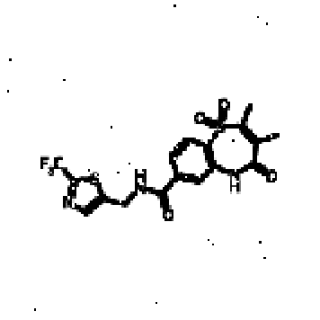 CC1=C(C)S(=O)(=O)c2ccc(C(=O)NCc3cnc(C(F)(F)F)s3)cc2NC1=O